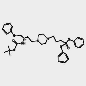 CC(C)(C)OC(=O)N[C@H](CCN1CCN(CCCP(=O)(Oc2ccccc2)Oc2ccccc2)CC1)CSc1ccccc1